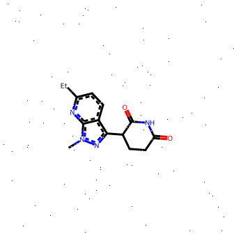 CCc1ccc2c(C3CCC(=O)NC3=O)nn(C)c2n1